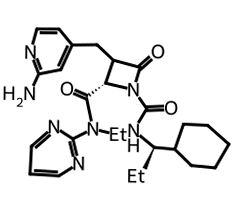 CC[C@@H](NC(=O)N1C(=O)C(Cc2ccnc(N)c2)[C@H]1C(=O)N(CC)c1ncccn1)C1CCCCC1